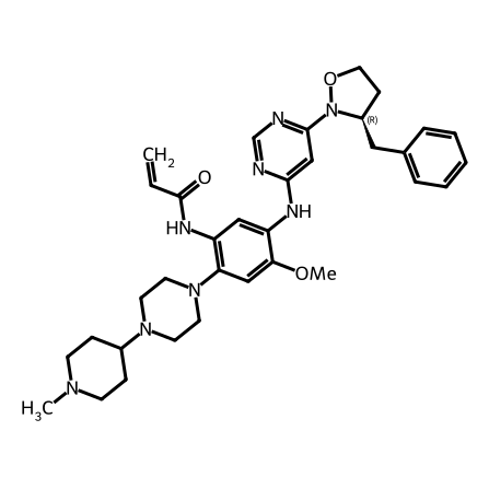 C=CC(=O)Nc1cc(Nc2cc(N3OCC[C@H]3Cc3ccccc3)ncn2)c(OC)cc1N1CCN(C2CCN(C)CC2)CC1